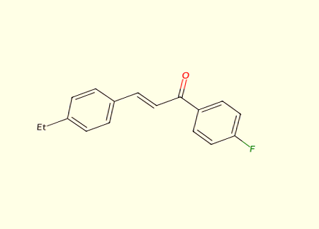 CCc1ccc(C=CC(=O)c2ccc(F)cc2)cc1